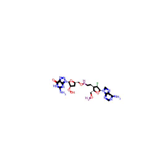 Nc1nc2c(nnn2[C@@H]2O[C@H](COPCC[C@H]3[C@H](F)[C@H](n4cnc5c(N)ncnc54)O[C@@H]3COP)C[C@H]2OO)c(=O)[nH]1